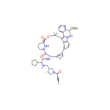 CC#CC(=O)N1CC(CN(C)[C@H](C(=O)N[C@H]2Cc3nc(cs3)-c3ccc4c(c3)c(c(-c3cccnc3[C@H](C)OC)n4CC)CC(C)(C)COC(=O)[C@@H]3CCCN(N3)C2=O)C2CCCC2)[C@@H](C)C1